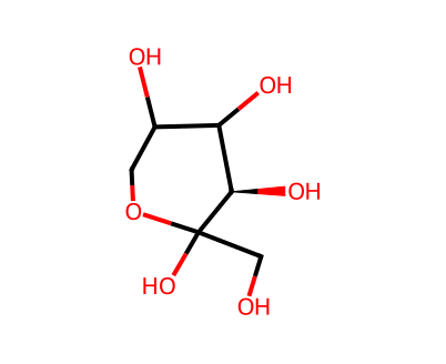 OCC1(O)OCC(O)C(O)[C@H]1O